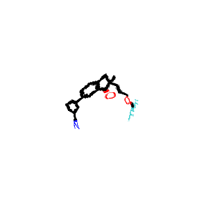 CC1(CCCOC(F)F)Cc2ccc(-c3cccc(C#N)c3)cc2C1=O